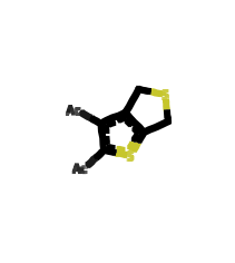 CC(=O)c1sc2c(c1C(C)=O)CSC2